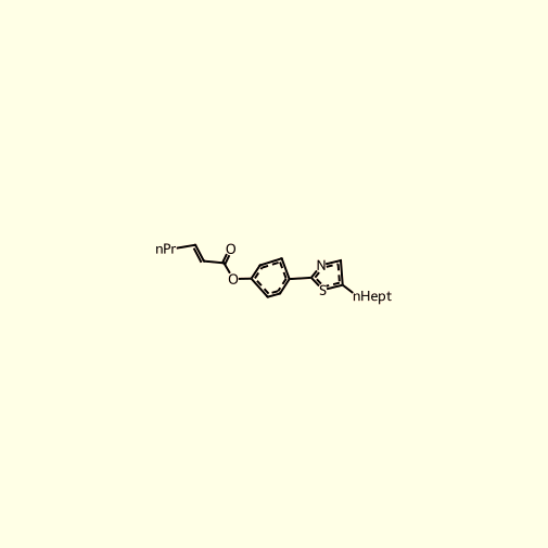 CCCC=CC(=O)Oc1ccc(-c2ncc(CCCCCCC)s2)cc1